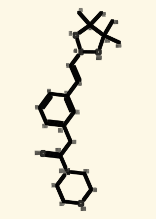 CC1(C)OB(/C=C/c2cccc(CC(=O)N3CCOCC3)c2)OC1(C)C